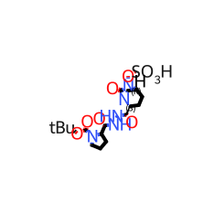 CC(C)(C)OC(=O)N1CCCC1C(=O)NNC(=O)[C@@H]1CC[C@@H]2CN1C(=O)N2OS(=O)(=O)O